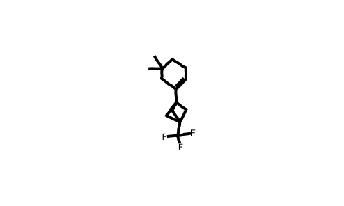 CC1(C)CCC=C(C23CC(C(F)(F)F)(C2)C3)C1